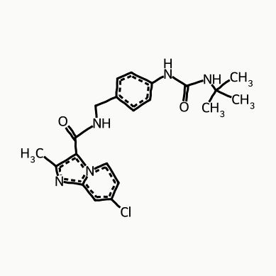 Cc1nc2cc(Cl)ccn2c1C(=O)NCc1ccc(NC(=O)NC(C)(C)C)cc1